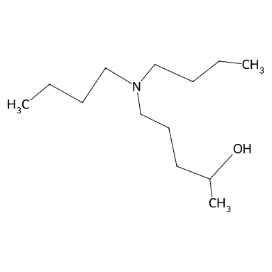 CCCCN(CCCC)CCCC(C)O